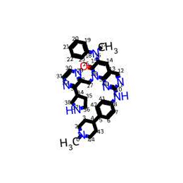 CN1CCC(c2ccc(Nc3ncc4cc(N(C)c5ccccc5)c(=O)n(Cc5nccnc5C5CCNC5)c4n3)cc2)CC1